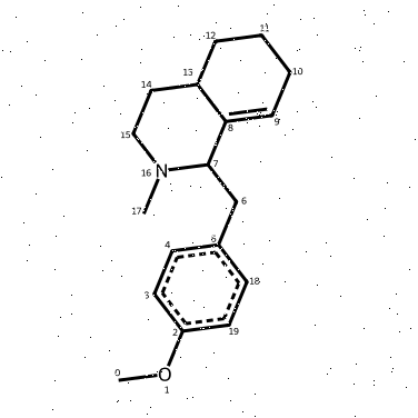 COc1ccc(CC2C3=CCCCC3CCN2C)cc1